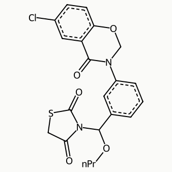 CCCOC(c1cccc(N2COc3ccc(Cl)cc3C2=O)c1)N1C(=O)CSC1=O